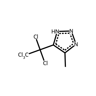 Cc1nn[nH]c1C(Cl)(Cl)C(Cl)(Cl)Cl